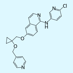 Clc1ccc(Nc2nccc3cc(OCC4(OCc5ccncc5)CC4)ccc23)cn1